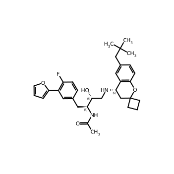 CC(=O)N[C@@H](Cc1ccc(F)c(-c2ccco2)c1)[C@H](O)CN[C@H]1CC2(CCC2)Oc2ccc(CC(C)(C)C)cc21